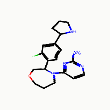 Nc1nccc(N2CCCOCC2c2ccc(C3CCCN3)cc2Cl)n1